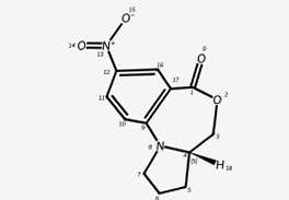 O=C1OC[C@@H]2CCCN2c2ccc([N+](=O)[O-])cc21